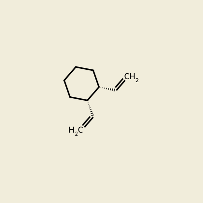 C=C[C@@H]1CCCC[C@@H]1C=C